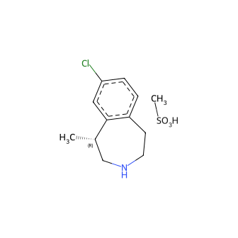 CS(=O)(=O)O.C[C@H]1CNCCc2ccc(Cl)cc21